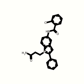 NC(=O)CCn1c(-c2ccccc2)cc2cc(NC(=O)c3ccccc3Cl)ccc21